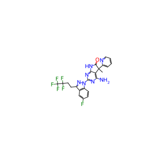 CC1(c2ccccn2)C(=O)Nc2nc(-n3nc(CCC(F)(F)C(F)(F)F)c4cc(F)ccc43)nc(N)c21